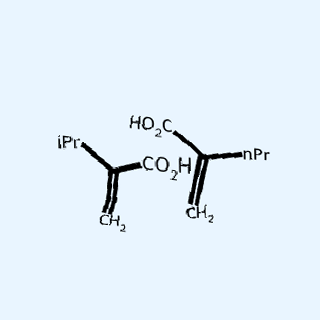 C=C(C(=O)O)C(C)C.C=C(CCC)C(=O)O